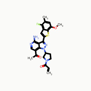 C=CC(=O)N1CCC(n2nc(-c3cc4c(F)c(C)cc(OC)c4s3)c3c(N)ncc(C(C)=O)c32)C1